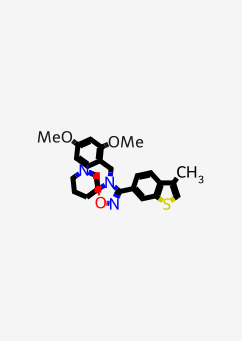 COc1ccc(CN2C(c3ccc4c(C)csc4c3)=NO[C@]23CN2CCC3CC2)c(OC)c1